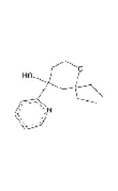 CCC1(CC)CC(O)(c2ccccn2)CCO1